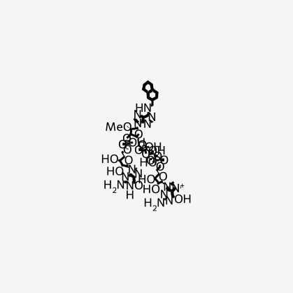 CO[C@H]1C(OP(=O)(O)OC[C@H]2O[C@@H](n3cnc4c(=O)[nH]c(N)nc43)[C@@H](O)C2O)[C@@H](COP(=O)(O)OP(=O)(O)OP(=O)(O)OC[C@H]2O[C@@H](n3c[n+](C)c4c(O)nc(N)nc43)C(O)C2O)O[C@H]1n1cnc2c(NCc3ccc4ccccc4c3)ncnc21